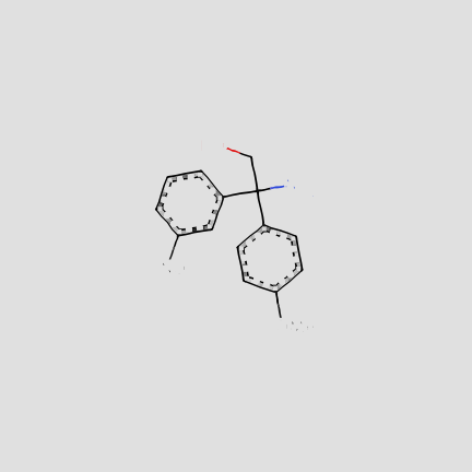 COc1ccc(C(N)(CO)c2cccc([N+](=O)[O-])c2)cc1